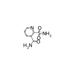 NC(=O)c1cccnc1S(N)(=O)=O